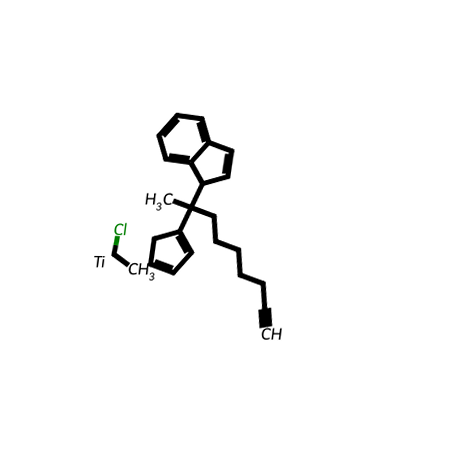 C#CCCCCCC(C)(C1=CC=CC1)C1C=Cc2ccccc21.CCCl.[Ti]